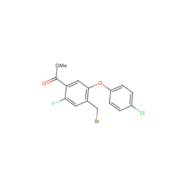 COC(=O)c1cc(Oc2ccc(Cl)cc2)c(CBr)cc1F